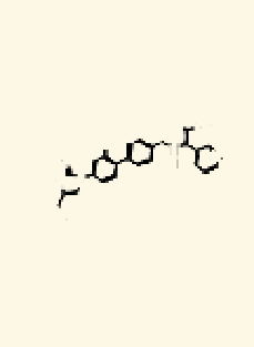 CC(=O)[C@@H](N)C1CN(c2ccc(-c3ccc(CNC(C(N)=O)c4cccnc4)cc3)c(F)c2)C(=O)O1